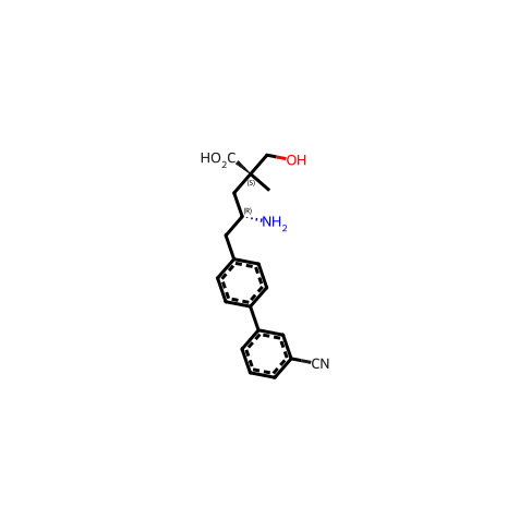 C[C@@](CO)(C[C@H](N)Cc1ccc(-c2cccc(C#N)c2)cc1)C(=O)O